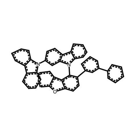 c1ccc(-c2cccc(-c3ccc4oc5ccccc5c4c3-n3c4ccccc4c4ccc(-n5c6ccccc6c6ccccc65)cc43)c2)cc1